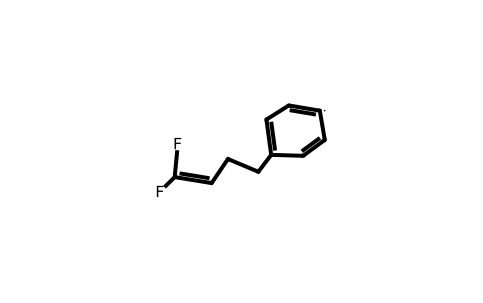 FC(F)=CCCc1cc[c]cc1